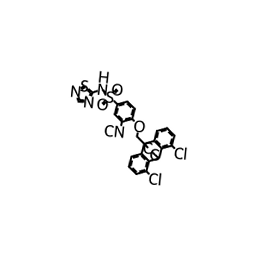 N#Cc1cc(S(=O)(=O)Nc2ncns2)ccc1OCC12CCC(c3c(Cl)cccc31)c1c(Cl)cccc12